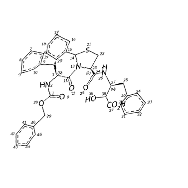 O=C(N[C@@H](Cc1ccccc1)C(=O)N1C(c2ccccc2)SC[C@H]1C(=O)N[C@@H](Cc1ccccc1)C(O)C(=O)O)OCc1ccccc1